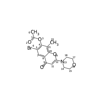 CC(=O)Oc1c(Br)cc2c(=O)cc(N3CCOCC3)oc2c1C